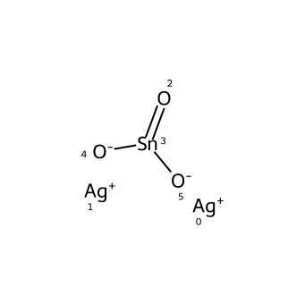 [Ag+].[Ag+].[O]=[Sn]([O-])[O-]